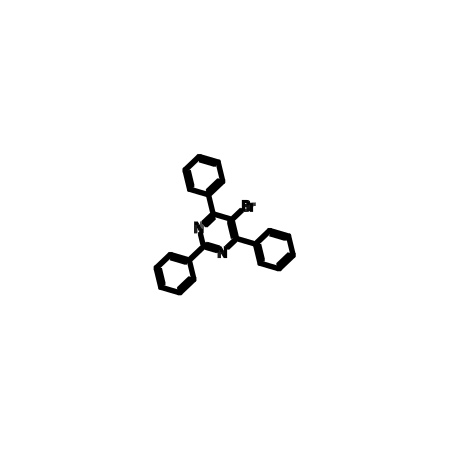 Brc1c(-c2ccccc2)nc(-c2ccccc2)nc1-c1ccccc1